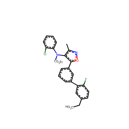 CCOC(=O)N(c1ccccc1Cl)c1c(C)noc1-c1cccc(-c2cc(CC(=O)O)ccc2F)c1